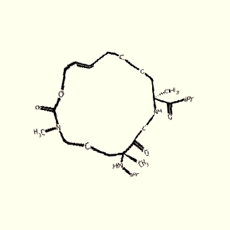 CC(C)N[C@]1(C)CCCN(C)C(=O)OC/C=C/CCCC[C@@](C)(C(=O)C(C)C)NCC1=O